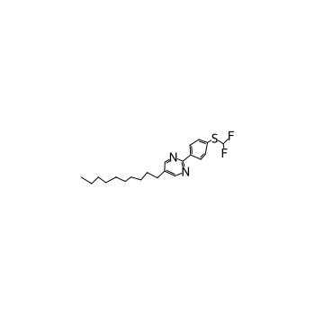 CCCCCCCCCCc1cnc(-c2ccc(SC(F)F)cc2)nc1